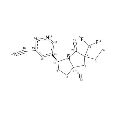 CCC1(C(F)F)C[C@H]2CC[C@@H](c3cncc(C#N)c3)N2C1=O